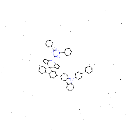 c1ccc(-c2ccc(-n3c4ccccc4c4cc(-c5ccc6c(c5)C5(c7ccccc7-6)c6ccccc6N(c6nc(-c7ccccc7)nc(-c7ccccc7)n6)c6ccccc65)ccc43)cc2)cc1